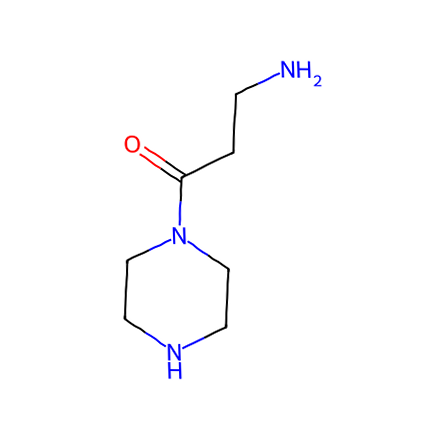 NCCC(=O)N1CCNCC1